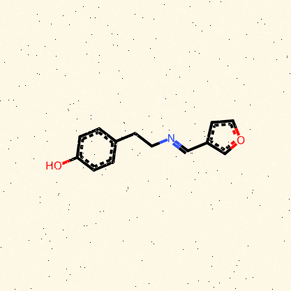 Oc1ccc(CCN=Cc2ccoc2)cc1